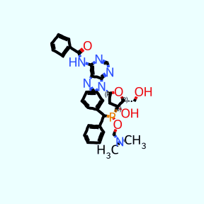 CN(C)COP(C(c1ccccc1)c1ccccc1)[C@@]1(O)C[C@H](n2cnc3c(NC(=O)c4ccccc4)ncnc32)O[C@@H]1CO